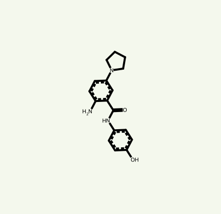 Nc1ccc(N2CCCC2)cc1C(=O)Nc1ccc(O)cc1